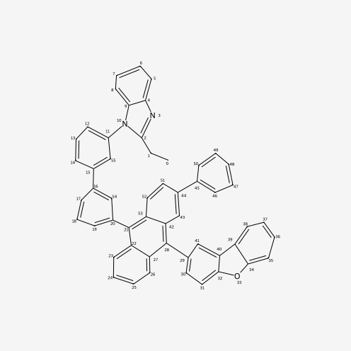 CCc1nc2ccccc2n1-c1cccc(-c2cccc(-c3c4ccccc4c(-c4ccc5oc6ccccc6c5c4)c4cc(-c5ccccc5)ccc34)c2)c1